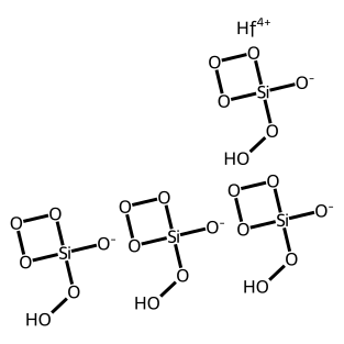 [Hf+4].[O-][Si]1(OO)OOO1.[O-][Si]1(OO)OOO1.[O-][Si]1(OO)OOO1.[O-][Si]1(OO)OOO1